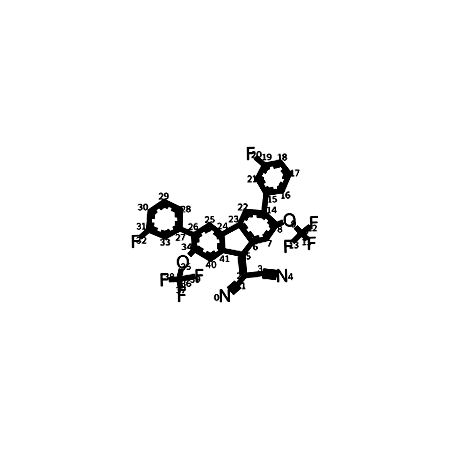 N#CC(C#N)=C1c2cc(OC(F)(F)F)c(-c3cccc(F)c3)cc2-c2cc(-c3cccc(F)c3)c(OC(F)(F)F)cc21